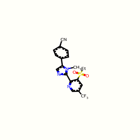 CCS(=O)(=O)c1cc(C(F)(F)F)cnc1-c1ncc(-c2ccc(C#N)cc2)n1C